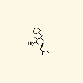 CCC(C)CC#CCC(CC1CCCCC1)C(C)C(C)NC